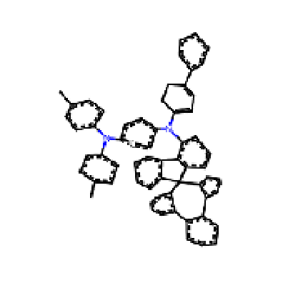 Cc1ccc(N(c2ccc(C)cc2)c2ccc(N(C3=CC=C(c4ccccc4)CC3)c3cccc4c3-c3ccccc3C43c4ccccc4-c4ccccc4-c4ccccc43)cc2)cc1